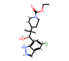 CCOC(=O)N1CCC(C(C)(C)[C@H](O)c2cc(Cl)cc3cn[nH]c23)CC1